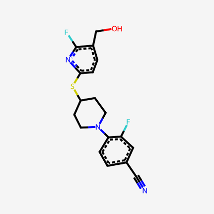 N#Cc1ccc(N2CCC(Sc3ccc(CO)c(F)n3)CC2)c(F)c1